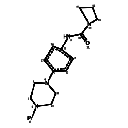 CC(C)N1CCN(c2ccc(NC(=O)N3CCC3)cc2)CC1